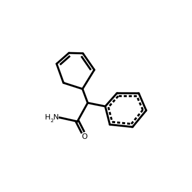 NC(=O)C(c1ccccc1)C1C=CC=CC1